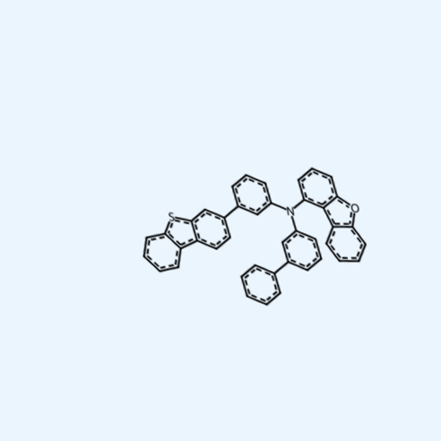 c1ccc(-c2cccc(N(c3cccc(-c4ccc5c(c4)sc4ccccc45)c3)c3cccc4oc5ccccc5c34)c2)cc1